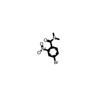 CN(C)C(=O)c1ccc(Br)cc1[N+](=O)[O-]